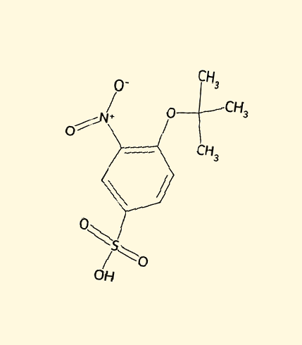 CC(C)(C)Oc1ccc(S(=O)(=O)O)cc1[N+](=O)[O-]